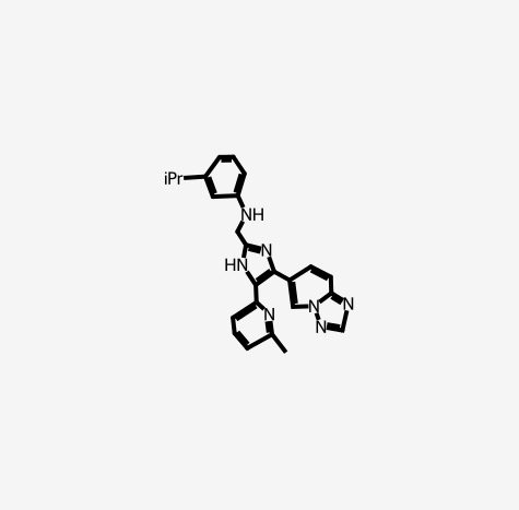 Cc1cccc(-c2[nH]c(CNc3cccc(C(C)C)c3)nc2-c2ccc3ncnn3c2)n1